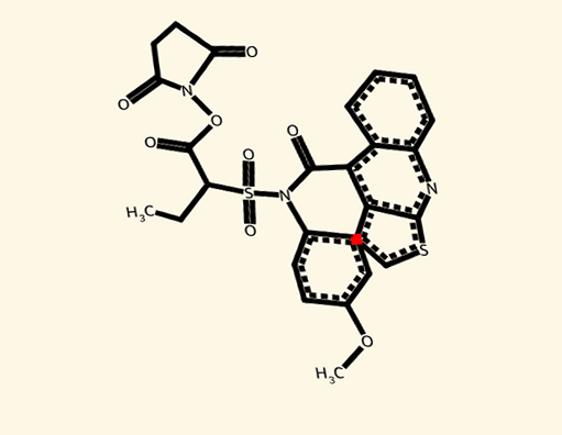 CCC(C(=O)ON1C(=O)CCC1=O)S(=O)(=O)N(C(=O)c1c2ccccc2nc2sccc12)c1ccc(OC)cc1